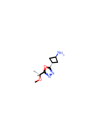 CO[C@H](C)c1nnc([C@H]2C[C@H](N)C2)o1